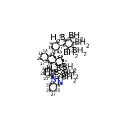 Bc1c(B)c(B)c(-c2cccc(-c3c4ccccc4c(-c4cccc(-n5c(C(B)(B)C(B)(B)B)nc6ccccc65)c4)c4ccccc34)c2)c(B)c1B